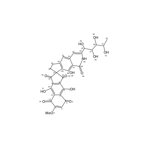 COC1=CC(=O)c2c(O)c3c(c(O)c2C1=O)C(=O)C1(CCc2cc4cc(C(O)C(O)C(O)C(C)O)[nH]c(=O)c4c(O)c21)C3=O